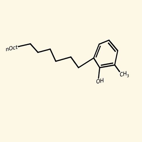 CCCCCCCCCCCCCCc1cccc(C)c1O